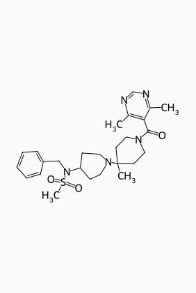 Cc1ncnc(C)c1C(=O)N1CCC(C)(N2CCC(N(Cc3ccccc3)S(C)(=O)=O)CC2)CC1